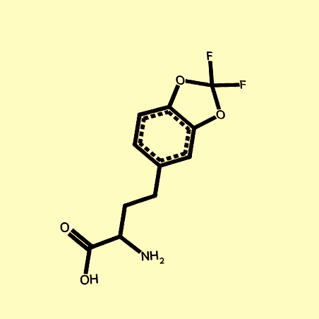 NC(CCc1ccc2c(c1)OC(F)(F)O2)C(=O)O